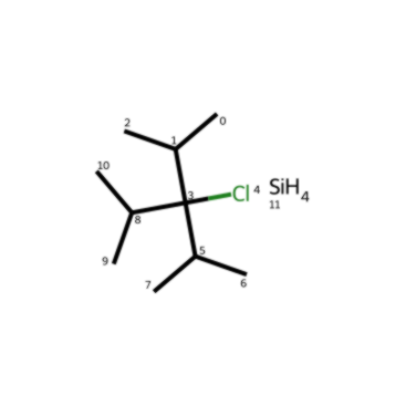 CC(C)C(Cl)(C(C)C)C(C)C.[SiH4]